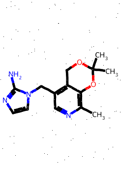 Cc1ncc(Cn2ccnc2N)c2c1OC(C)(C)OC2